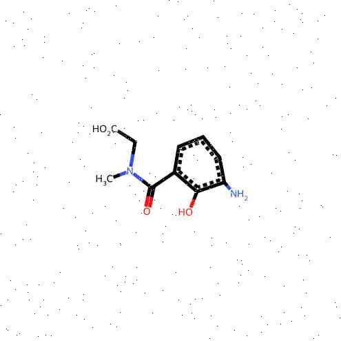 CN(CC(=O)O)C(=O)c1cccc(N)c1O